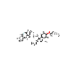 C=CC(C)(CCCc1ccc(F)c(Cc2ccccc2)c1)c1ccc(OCC)cc1